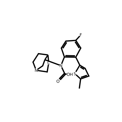 Cc1ccc(-c2cc(F)ccc2N(C(=O)O)C2CN3CCC2CC3)s1